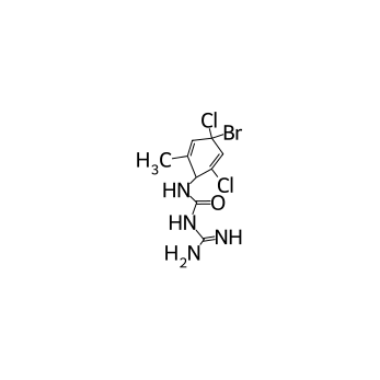 CC1=CC(Cl)(Br)C=C(Cl)C1NC(=O)NC(=N)N